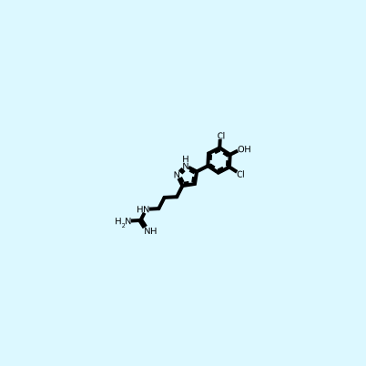 N=C(N)NCCCc1cc(-c2cc(Cl)c(O)c(Cl)c2)[nH]n1